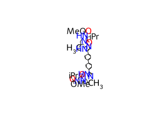 COC(=O)N[C@H](C(=O)N1CC[C@H](C)[C@H]1c1ncc(-c2ccc(-c3ccc(-c4cnc([C@@H]5[C@@H](C)CCN5C(=O)[C@@H](NC(=O)OC)C(C)C)[nH]4)cc3)cc2)[nH]1)C(C)C